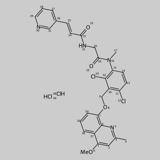 COc1cc(C)nc2c(OCc3c(Cl)ccc(N(C)C(=O)CNC(=O)/C=C/c4cccnc4)c3Cl)cccc12.Cl.Cl